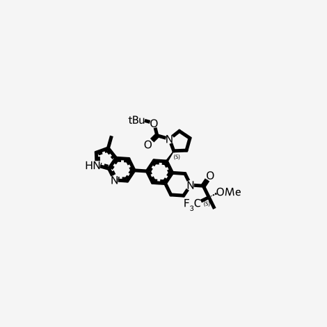 CO[C@@](C)(C(=O)N1CCc2cc(-c3cnc4[nH]cc(C)c4c3)cc([C@@H]3CCCN3C(=O)OC(C)(C)C)c2C1)C(F)(F)F